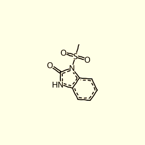 CS(=O)(=O)n1c(=O)[nH]c2ccccc21